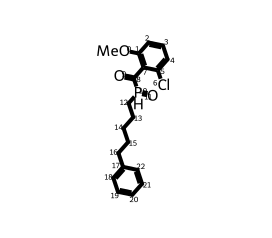 COc1cccc(Cl)c1C(=O)[PH](=O)CCCCCc1ccccc1